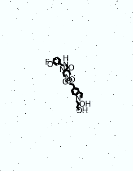 O=C1NC(c2cccc(OF)c2)=NC12CCN(S(=O)(=O)CCc1ccc3c(ccn3C[C@H](O)CO)c1)CC2